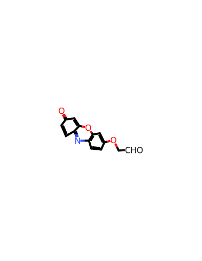 O=CCOc1ccc2nc3ccc(=O)cc-3oc2c1